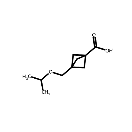 CC(C)OCC12CC(C(=O)O)(C1)C2